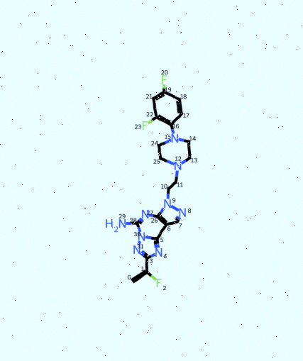 C=C(F)c1nc2c3cnn(CCN4CCN(c5ccc(F)cc5F)CC4)c3nc(N)n2n1